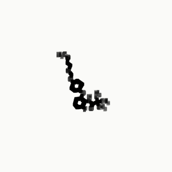 COCCOCOc1ccc(Oc2cccc(F)c2NC(=O)C(C)(C)C)cc1